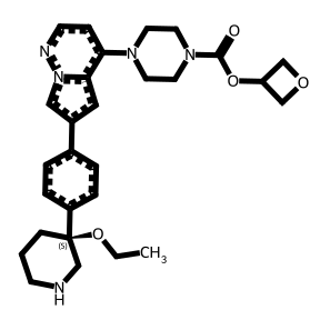 CCO[C@]1(c2ccc(-c3cc4c(N5CCN(C(=O)OC6COC6)CC5)ccnn4c3)cc2)CCCNC1